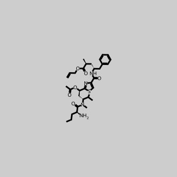 C=CCOC(=O)[C@@H](C)C[C@H](Cc1ccccc1)NC(=O)c1csc([C@@H](C[C@H](C(C)C)N(C)C(=O)[C@@H](N)CCC)OC(C)=O)n1